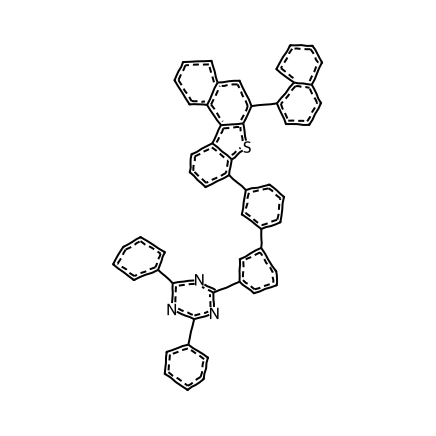 c1ccc(-c2nc(-c3ccccc3)nc(-c3cccc(-c4cccc(-c5cccc6c5sc5c(-c7cccc8ccccc78)cc7ccccc7c56)c4)c3)n2)cc1